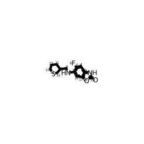 O=c1[nH]c2cc(F)c(NCC3CCCSC3)cc2o1